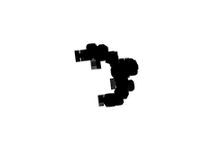 O=C(O)Nc1cccc(-c2csc(CNC(=O)[C@@H]3CC4(CN3C(=O)CNC(=O)c3ccc(Oc5ccc(F)cc5)cc3)OCCO4)c2)n1